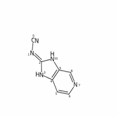 N#CN=c1[nH]c2ccncc2[nH]1